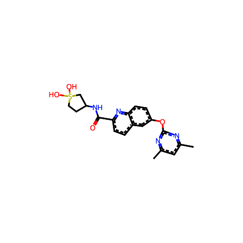 Cc1cc(C)nc(Oc2ccc3nc(C(=O)NC4CCS(O)(O)C4)ccc3c2)n1